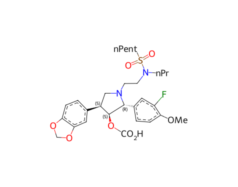 CCCCCS(=O)(=O)N(CCC)CCN1C[C@H](c2ccc3c(c2)OCO3)[C@H](OC(=O)O)[C@H]1c1ccc(OC)c(F)c1